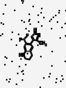 Cc1n[nH]cc1-c1cc2c(cc1C(F)F)NCCC2